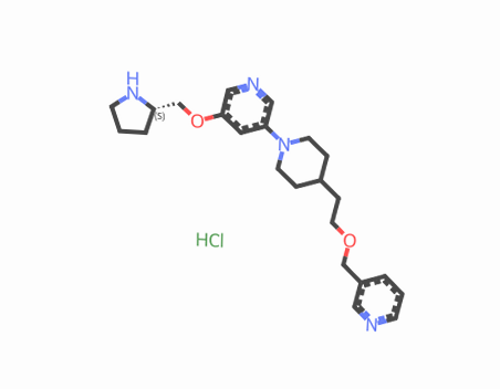 Cl.c1cncc(COCCC2CCN(c3cncc(OC[C@@H]4CCCN4)c3)CC2)c1